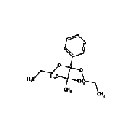 CCCO[Si](OCCC)(c1ccccc1)C(C)(C)C